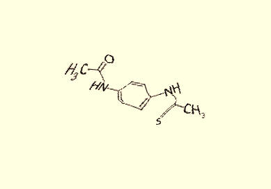 CC(=O)Nc1ccc(NC(C)=S)cc1